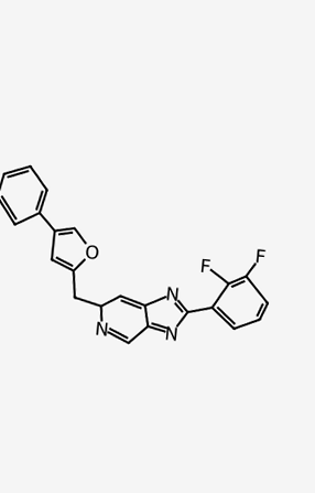 Fc1cccc(C2=NC3=CC(Cc4cc(-c5ccccc5)co4)N=CC3=N2)c1F